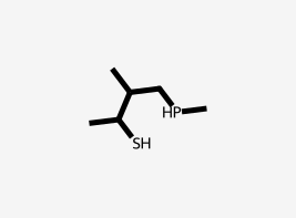 CPCC(C)C(C)S